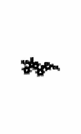 C=C(/C=C\C=C/C)Oc1ccccc1-c1cnc2[nH]c(C)c(-c3ccccc3)c2c1